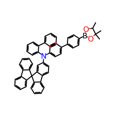 CC1OB(c2ccc(-c3ccc(N(c4ccc5c(c4)C4(c6ccccc6-c6ccccc64)c4ccccc4-5)c4ccccc4-c4ccccc4)cc3)cc2)OC1(C)C